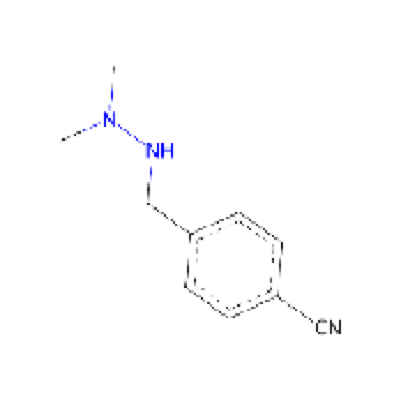 CN(C)NCc1ccc(C#N)cc1